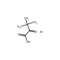 CC(C)(C)C(=O)C(=O)O.[Zn]